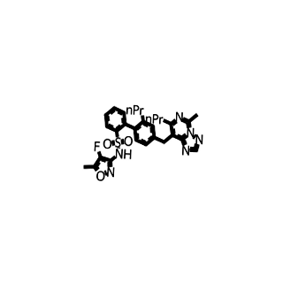 CCCc1cc(Cc2c(CCC)nc(C)n3ncnc23)ccc1-c1ccccc1S(=O)(=O)Nc1noc(C)c1F